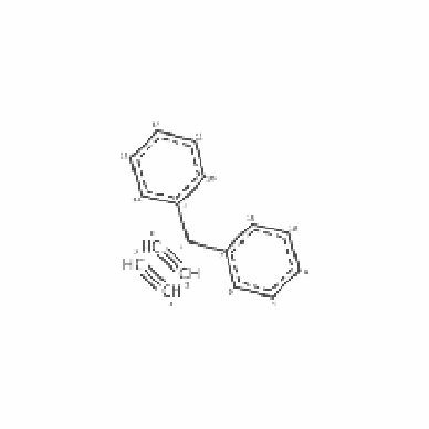 C#C.C#C.c1ccc(Cc2ccccc2)cc1